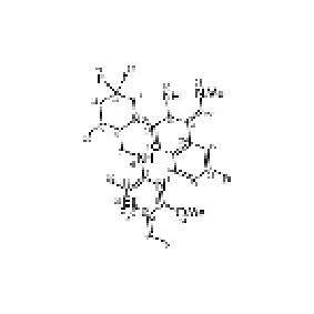 C\C=C(/C(=N\C(NCC1C(C)CC(F)(F)CN1C(=O)C(=N)/C(=C\NC)c1cccc(C)c1)=C(\C)CC)OC)C(F)(F)F